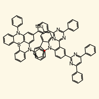 CC(C)(C)c1ccc2c(c1)c1ccccc1n2-c1ccc(-c2nc(-c3ccccc3)cc(-c3ccccc3)n2)cc1-c1nc(-c2ccccc2)nc(-c2cccc(-c3cc4c5c(c3)N(c3ccccc3)c3ccccc3B5c3ccccc3N4c3ccccc3)c2)n1